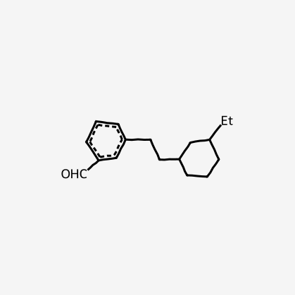 CCC1CCCC(CCc2cccc(C=O)c2)C1